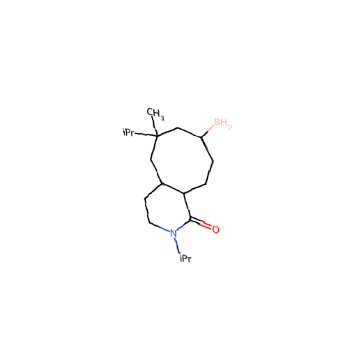 BC1CCC2C(=O)N(C(C)C)CCC2CC(C)(C(C)C)C1